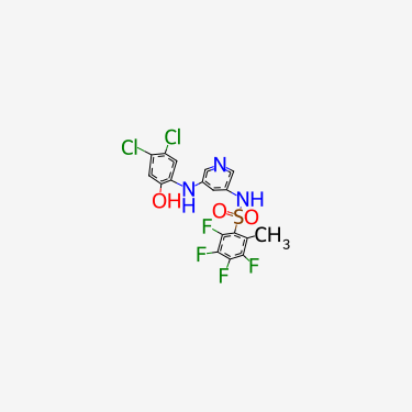 Cc1c(F)c(F)c(F)c(F)c1S(=O)(=O)Nc1cncc(Nc2cc(Cl)c(Cl)cc2O)c1